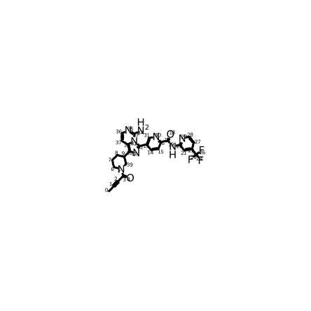 CC#CC(=O)N1CCCC(c2nc(-c3ccc(C(=O)Nc4cc(C(F)(F)F)ccn4)nc3)n3c(N)nccc23)C1